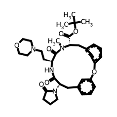 CN1C(=O)[C@H](CCN2CCOCC2)NC(=O)[C@@H](N2CCCC2=O)Cc2cccc(c2)Oc2cccc(c2)C[C@H]1C(=O)OC(C)(C)C